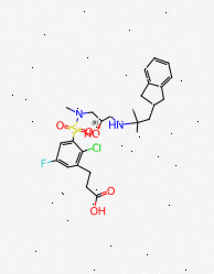 CN(C[C@H](O)CNC(C)(C)CC1Cc2ccccc2C1)S(=O)(=O)c1cc(F)cc(CCC(=O)O)c1Cl